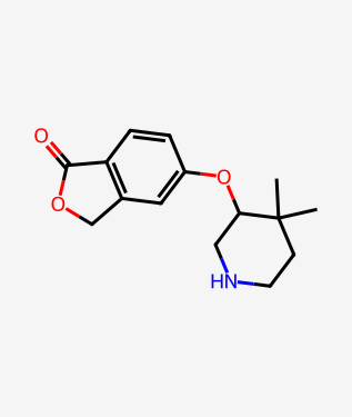 CC1(C)CCNCC1Oc1ccc2c(c1)COC2=O